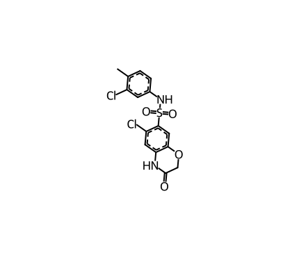 Cc1ccc(NS(=O)(=O)c2cc3c(cc2Cl)NC(=O)CO3)cc1Cl